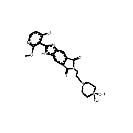 COc1nccc(Cl)c1-c1nc2cc3c(cc2[nH]1)C(=O)N(CCN1CCS(O)(O)CC1)C3=O